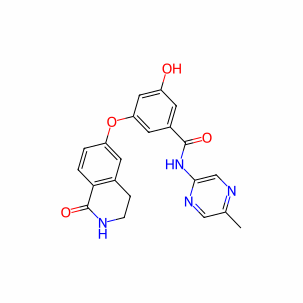 Cc1cnc(NC(=O)c2cc(O)cc(Oc3ccc4c(c3)CCNC4=O)c2)cn1